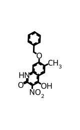 Cc1cc2c(O)c([N+](=O)[O-])c(=O)[nH]c2cc1OCc1ccccc1